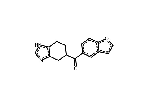 O=C(c1ccc2occc2c1)C1CCc2[nH]cnc2C1